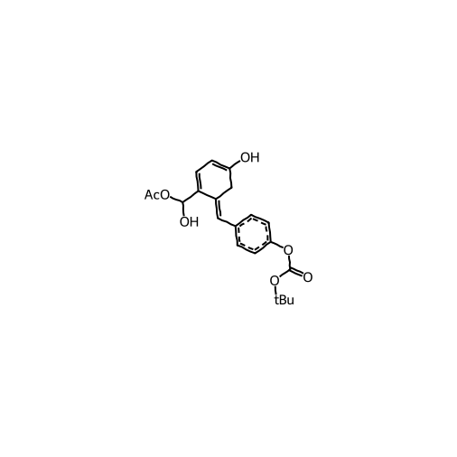 CC(=O)OC(O)C1=CC=C(O)CC1=Cc1ccc(OC(=O)OC(C)(C)C)cc1